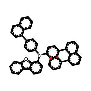 c1ccc(-c2cccc3cccc(-c4ccc(N(c5ccc(-c6cccc7ccccc67)cc5)c5cccc6c5oc5ccccc56)cc4)c23)cc1